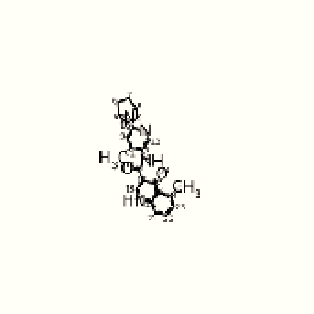 Cc1cc(N2C3CCC2CC3)ncc1NC(=O)c1c[nH]c2cccc(C)c2c1=O